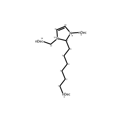 CCCCCCCCCCCCCCCCC1N(CCCCCCCCCC)C=CN1CCCCCCCCCCC